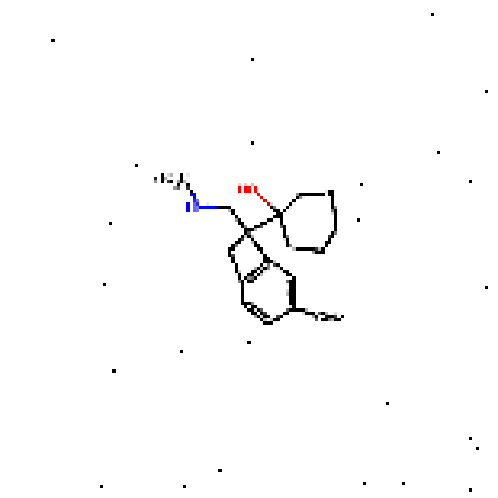 CCOC(=O)NCC1(C2(O)CCCCC2)Cc2ccc(OC)cc21